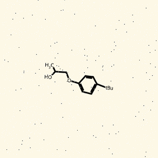 CC(O)[CH]Oc1ccc(C(C)(C)C)cc1